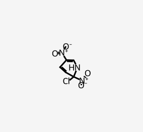 O=[N+]([O-])C1=CNC(Cl)([N+](=O)[O-])C=C1